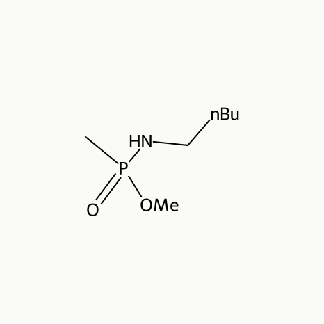 CCCCCNP(C)(=O)OC